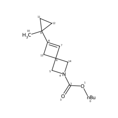 CCCCOC(=O)N1CC2(C=C(C3(C)CC3)C2)C1